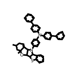 CC1CC=C2C3C(OC2(C)C1)C1Sc2ccccc2C1N3c1ccc(N(c2ccc(-c3ccccc3)cc2)c2ccc(-c3ccccc3)cc2)cc1